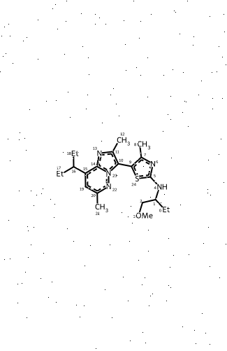 CCC(COC)Nc1nc(C)c(-c2c(C)nc3c(C(CC)CC)cc(C)nn23)s1